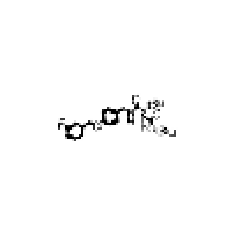 CC(C)(C)OC(=O)N[C@@H](C(=O)NCc1ccc(OCC2C=C(F)C=CC2)cc1)C(C)(C)C